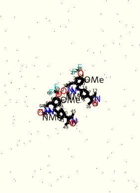 CNC(=O)N1N=C(c2ccc(-c3c(C)noc3C)cc2)c2cc(OC)c(OC(F)F)cc2C[C@@H]1C.CNC(=O)N1N=C(c2ccc(-c3c(C)noc3C)cc2)c2cc(OC)c(OC(F)F)cc2C[C@H]1C